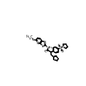 COc1ccc2nc(NC(=O)C(CC3CCCC3)c3ccc(S(=O)(=O)N4CCCC4)cc3)sc2n1